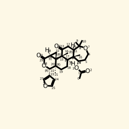 CC(=O)O[C@H]1CCOC(C)(C)[C@@H]2CC(=O)[C@]3(C)[C@H](CC[C@@]4(C)[C@H](c5ccoc5)OC(=O)[C@H]5C[C@]543)[C@@]12C